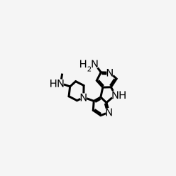 CNC1CCN(c2ccnc3[nH]c4cnc(N)cc4c23)CC1